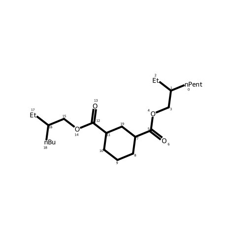 CCCCCC(CC)COC(=O)C1CCCC(C(=O)OCC(CC)CCCC)C1